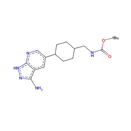 CC(C)(C)OC(=O)NCC1CCC(c2cnc3[nH]nc(N)c3c2)CC1